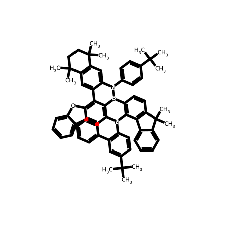 CC(C)(C)c1ccc(N2B3c4ccc5c(c4N(c4ccc(C(C)(C)C)cc4-c4ccccc4)c4cc6c(oc7ccccc76)c(c43)-c3cc4c(cc32)C(C)(C)CCC4(C)C)-c2ccccc2C5(C)C)cc1